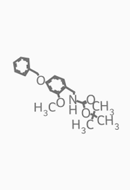 COc1cc(OCc2ccccc2)ccc1CNC(=O)OC(C)(C)C